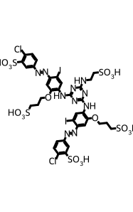 O=S(=O)(O)CCCOc1cc(N=Nc2ccc(Cl)c(S(=O)(=O)O)c2)c(I)cc1Nc1nc(NCCS(=O)(=O)O)nc(Nc2cc(I)c(N=Nc3ccc(Cl)c(S(=O)(=O)O)c3)cc2OCCCS(=O)(=O)O)n1